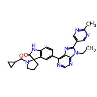 CCn1c(-c2cnc(C)nc2)nc2c(-c3ccc4c(c3)C3(CCCN3C(=O)C3CC3)C(=O)N4)ncnc21